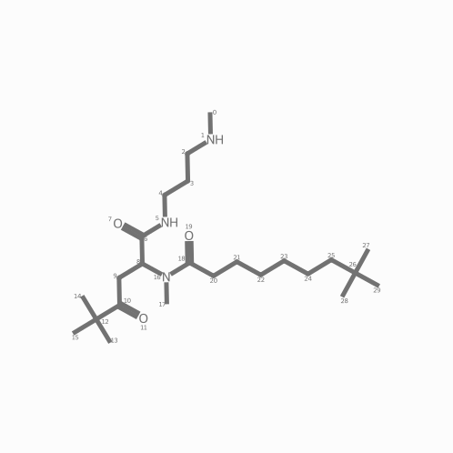 CNCCCNC(=O)C(CC(=O)C(C)(C)C)N(C)C(=O)CCCCCCC(C)(C)C